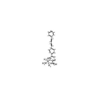 CC(C)(N)C(NC(=O)c1ccc(C#CC#Cc2ccncc2)cc1)C(=O)NO